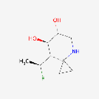 C[C@H](F)[C@@H]1[C@@H](O)[C@H](O)CNC12CC2